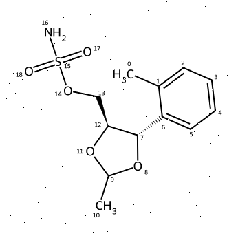 Cc1ccccc1[C@@H]1OC(C)O[C@H]1COS(N)(=O)=O